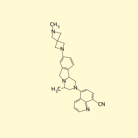 CC1CN(c2ccc(C#N)c3ncccc23)CC2c3ccc(N4CC5(CN(C)C5)C4)cc3CN12